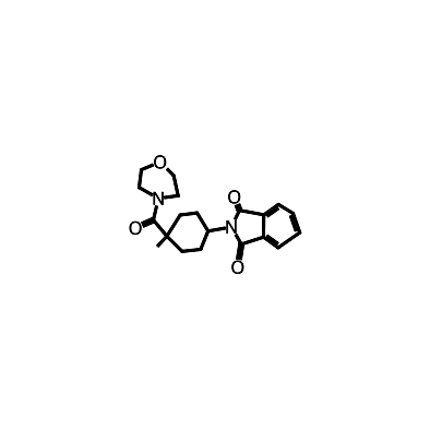 CC1(C(=O)N2CCOCC2)CCC(N2C(=O)c3ccccc3C2=O)CC1